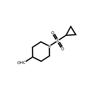 O=[C]C1CCN(S(=O)(=O)C2CC2)CC1